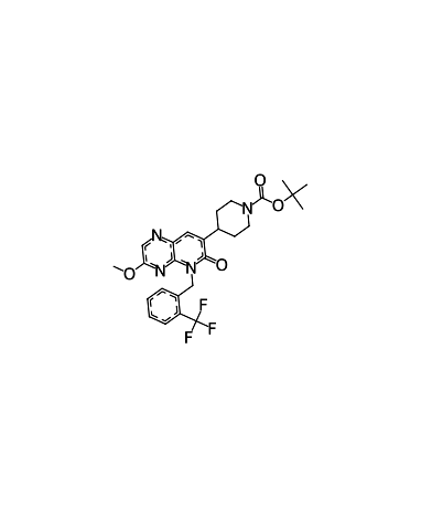 COc1cnc2cc(C3CCN(C(=O)OC(C)(C)C)CC3)c(=O)n(Cc3ccccc3C(F)(F)F)c2n1